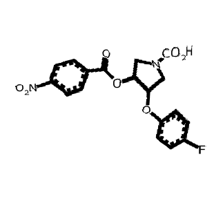 O=C(OC1CN(C(=O)O)CC1Oc1ccc(F)cc1)c1ccc([N+](=O)[O-])cc1